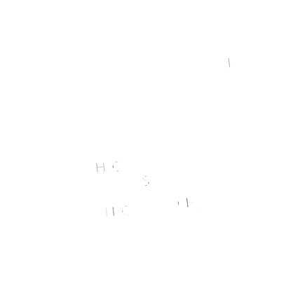 CS(C)(C)c1ccc(I)cc1